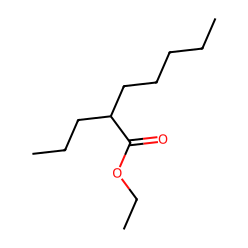 CCCCCC(CCC)C(=O)OCC